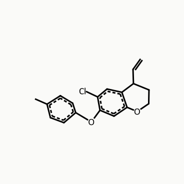 C=CC1CCOc2cc(Oc3ccc(C)cc3)c(Cl)cc21